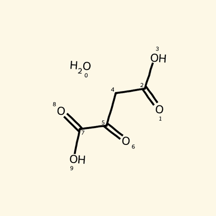 O.O=C(O)CC(=O)C(=O)O